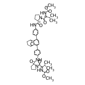 COC(=O)N[C@H](C(=O)N1CCC[C@H]1C(=O)Nc1ccc(-c2ccc(-c3ccc(NC4OC45CCCN5C(=O)[C@@H](NC(=O)OC)C(C)C)cc3)c3c2C2CCC3CC2)cc1)C(C)C